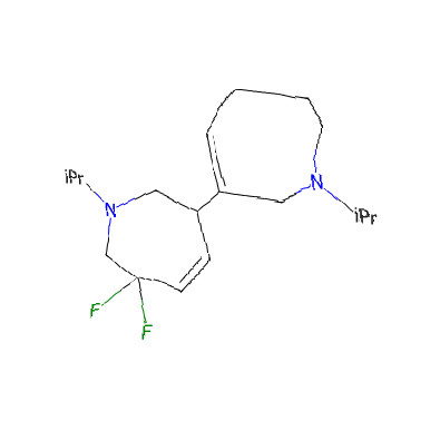 CC(C)N1CCCC=C(C2C=CC(F)(F)CN(C(C)C)C2)C1